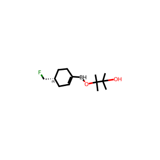 CC(C)(O)C(C)(C)OBC1=CC[C@H](CF)CC1